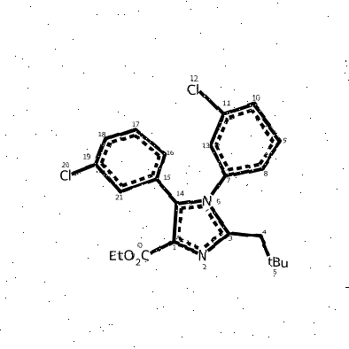 CCOC(=O)c1nc(CC(C)(C)C)n(-c2cccc(Cl)c2)c1-c1cccc(Cl)c1